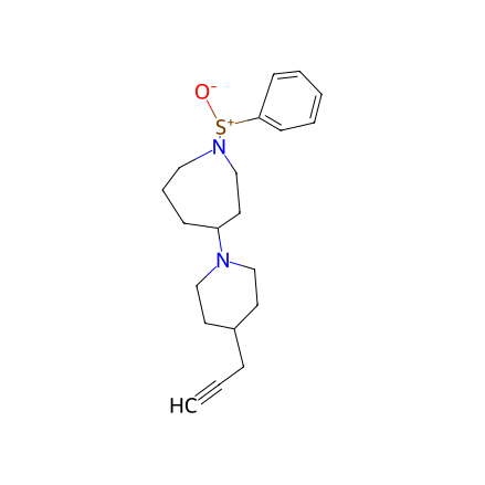 C#CCC1CCN(C2CCCN([S+]([O-])c3ccccc3)CC2)CC1